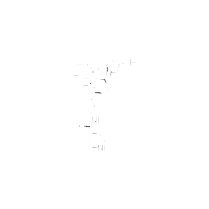 CC(C)(C)C(NC(=O)CCCNC(=O)C1CCNCC1)C(=O)N1CCC(O)C1